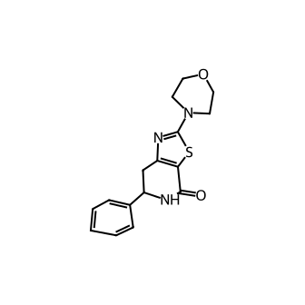 O=C1NC(c2ccccc2)Cc2nc(N3CCOCC3)sc21